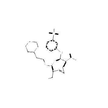 CCC1=C(NCCC2CCCCC2)/N=C(Nc2cccc(S(C)(=O)=O)c2)\C(C(N)=O)=C\C=C\1